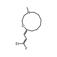 CC/C(F)=C\C=C1/CCCCCCN(C)CCO1